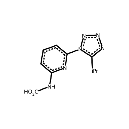 CC(C)c1nnnn1-c1cccc(NC(=O)O)n1